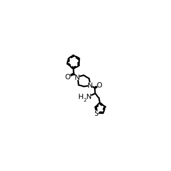 NC(Cc1ccsc1)C(=O)N1CCN(C(=O)c2ccccc2)CC1